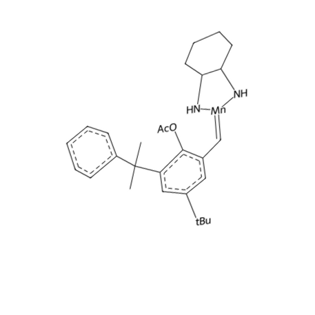 CC(=O)Oc1c([CH]=[Mn]2[NH]C3CCCCC3[NH]2)cc(C(C)(C)C)cc1C(C)(C)c1ccccc1